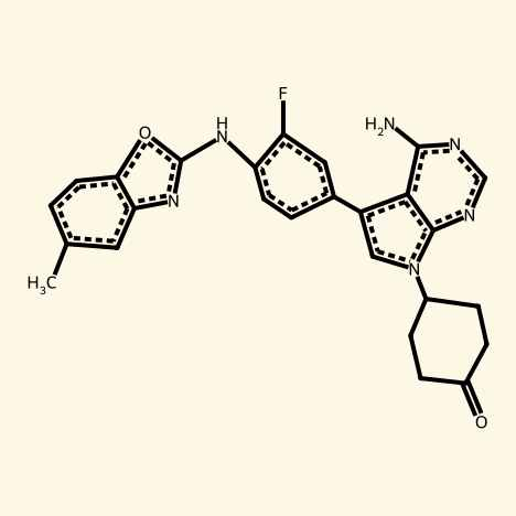 Cc1ccc2oc(Nc3ccc(-c4cn(C5CCC(=O)CC5)c5ncnc(N)c45)cc3F)nc2c1